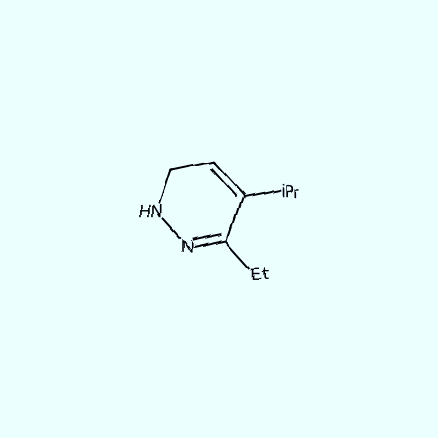 CCC1=NNCC=C1C(C)C